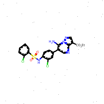 CCOC(=O)c1cnn2c(N)c(-c3ccc(NS(=O)(=O)c4ccccc4Cl)c(Cl)c3)cnc12